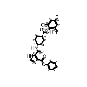 O=C(Oc1ccccc1)c1nc[nH]c1C(=O)N[C@H]1CC[C@H](C(=O)Nc2c(F)cc(F)cc2Cl)CC1